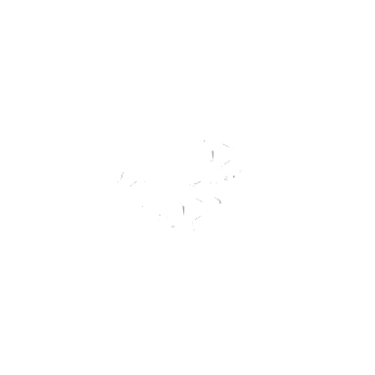 CCS(=O)(=O)c1ccc(Cl)cc1Nn1cnc2cc(CN3CCN(Cc4ccsc4)CC3)c(Br)cc2c1=O